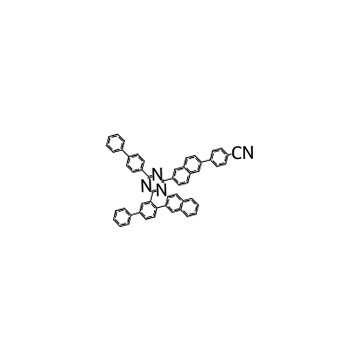 N#Cc1ccc(-c2ccc3cc(-c4nc(-c5ccc(-c6ccccc6)cc5)nc(-c5cc(-c6ccccc6)ccc5-c5ccc6ccccc6c5)n4)ccc3c2)cc1